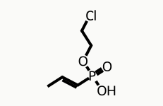 CC=CP(=O)(O)OCCCl